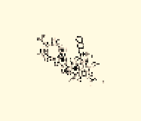 CC[C@H](C)[C@H](NC(=O)[C@H](N)Cc1ccc2ccccc2c1)C(=O)N[C@@H](CO)C(=O)N[C@H](CCC(N)=O)C(=O)N[C@@H](C(=O)N[C@H](C(=O)N[C@@H](CO)C(=O)N[C@H]1C(=O)N[C@@H](C)C(=O)NC2(CC2CC(F)F)C(=O)N[C@@H]([C@@H](C)CC)C(=O)O[C@H]1C)[C@@H](C)CC)[C@@H](C)CC